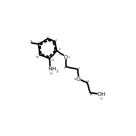 Cc1ccc(OCCOCCO)c(N)c1